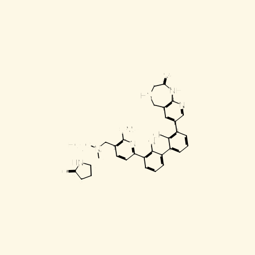 COc1nc(-c2cccc(-c3cccc(-c4cnc5c(c4)CNCC(=O)N5)c3Cl)c2Cl)ccc1CN(C[C@@H]1CCC(=O)N1)C(=O)O